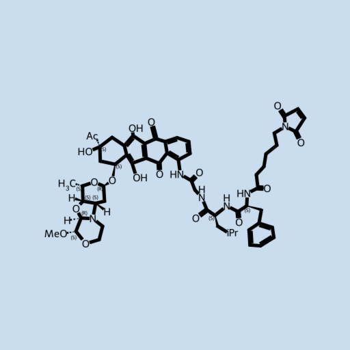 CO[C@H]1OCCN2[C@@H]1O[C@@H]1[C@H](C)O[C@@H](O[C@H]3C[C@](O)(C(C)=O)Cc4c(O)c5c(c(O)c43)C(=O)c3c(NC(=O)CNC(=O)[C@H](CC(C)C)NC(=O)[C@H](Cc4ccccc4)NC(=O)CCCCCN4C(=O)C=CC4=O)cccc3C5=O)C[C@@H]12